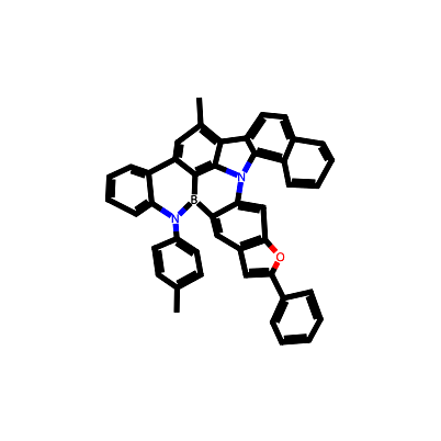 Cc1ccc(N2B3c4cc5cc(-c6ccccc6)oc5cc4-n4c5c3c(cc(C)c5c3ccc5ccccc5c34)-c3ccccc32)cc1